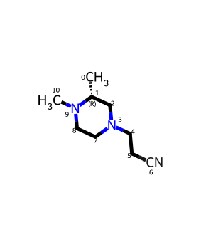 C[C@@H]1CN(CCC#N)CCN1C